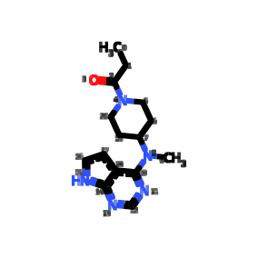 CCC(=O)N1CCC(N(C)c2ncnc3[nH]ccc23)CC1